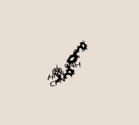 CS(=O)(=O)Nc1nc(-c2cccc(C(=O)Nc3ccc(OCCc4ccccc4)cc3)c2)cnc1Cl